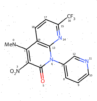 CNc1c([N+](=O)[O-])c(=O)n(-c2cccnc2)c2nc(C(F)(F)F)ccc12